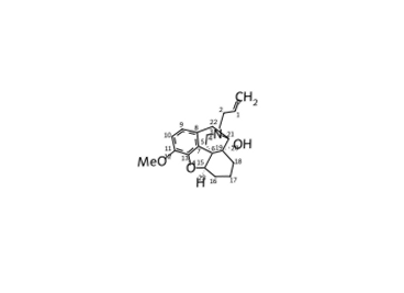 C=CCN1CC[C@@]23c4c5ccc(OC)c4O[C@@H]2CCC[C@]3(O)C1C5